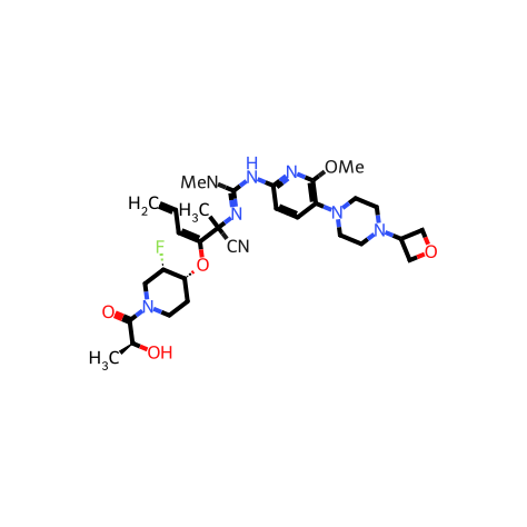 C=C/C=C(/O[C@@H]1CCN(C(=O)[C@H](C)O)C[C@@H]1F)C(C)(C#N)/N=C(\NC)Nc1ccc(N2CCN(C3COC3)CC2)c(OC)n1